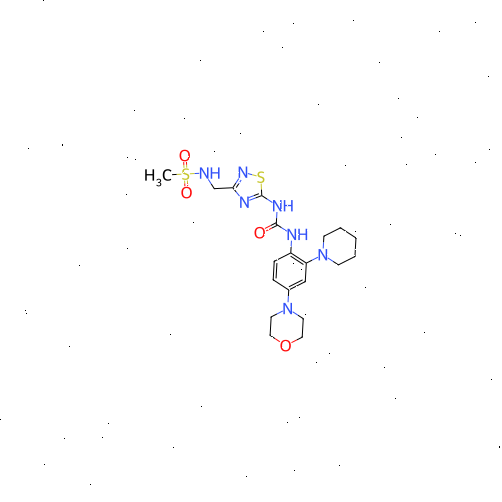 CS(=O)(=O)NCc1nsc(NC(=O)Nc2ccc(N3CCOCC3)cc2N2CCCCC2)n1